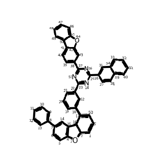 C1=CC2Oc3ccc(-c4ccccc4)cc3C2C(c2cccc(-c3nc(-c4ccc5ccccc5c4)nc(-c4ccc5c(c4)oc4ccccc45)n3)c2)=C1